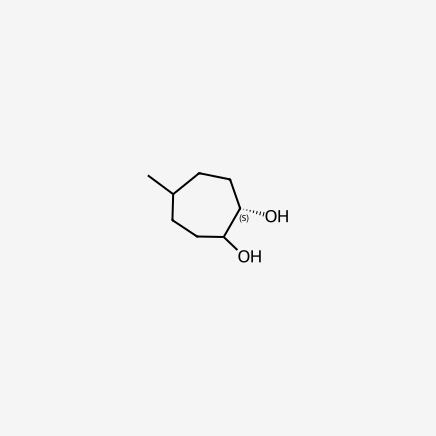 CC1CCC(O)[C@@H](O)CC1